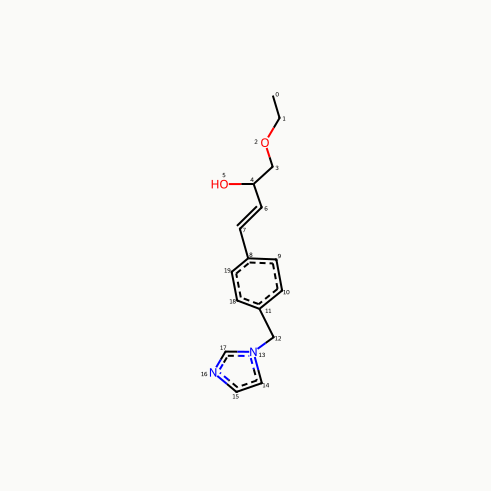 CCOCC(O)/C=C/c1ccc(Cn2ccnc2)cc1